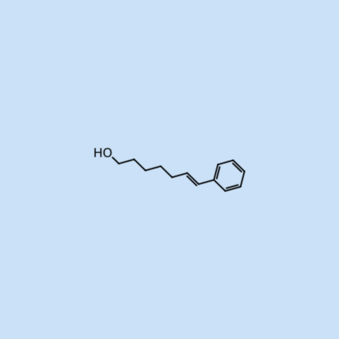 OCCCCCC=Cc1ccccc1